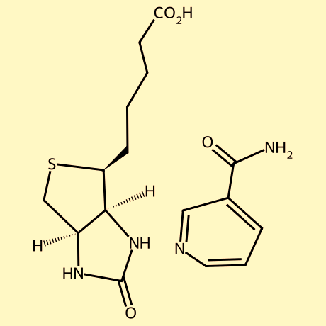 NC(=O)c1cccnc1.O=C(O)CCCC[C@@H]1SC[C@@H]2NC(=O)N[C@@H]21